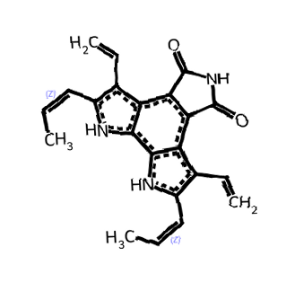 C=Cc1c(/C=C\C)[nH]c2c1c1c(c3c(C=C)c(/C=C\C)[nH]c32)C(=O)NC1=O